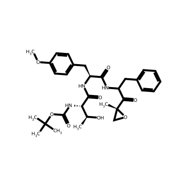 COc1ccc(C[C@H](NC(=O)[C@@H](NC(=O)OC(C)(C)C)[C@H](C)O)C(=O)NC(Cc2ccccc2)C(=O)[C@@]2(C)CO2)cc1